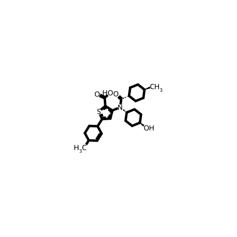 CC1C=CC(c2cc(N(C(=O)[C@H]3CC[C@H](C)CC3)[C@H]3CC[C@H](O)CC3)c(C(=O)O)s2)CC1